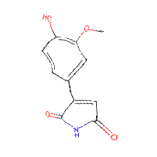 COc1cc(C2=CC(=O)NC2=O)ccc1O